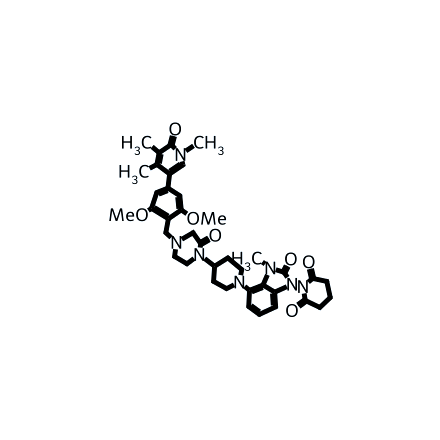 COc1cc(-c2cn(C)c(=O)c(C)c2C)cc(OC)c1CN1CCN(C2CCN(c3cccc4c3n(C)c(=O)n4N3C(=O)CCCC3=O)CC2)C(=O)C1